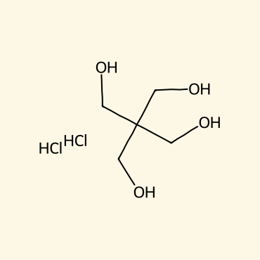 Cl.Cl.OCC(CO)(CO)CO